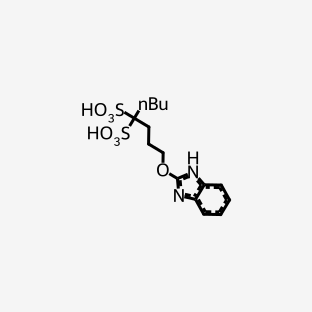 CCCCC(CCCOc1nc2ccccc2[nH]1)(S(=O)(=O)O)S(=O)(=O)O